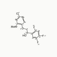 CNc1nc(Cl)ncc1OCC(O)c1cc(F)c(F)cc1F